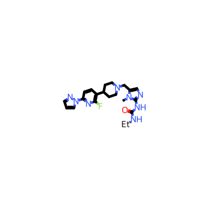 CCNC(=O)Nc1ncc(CN2CCC(c3ccc(-n4cccn4)nc3F)CC2)n1C